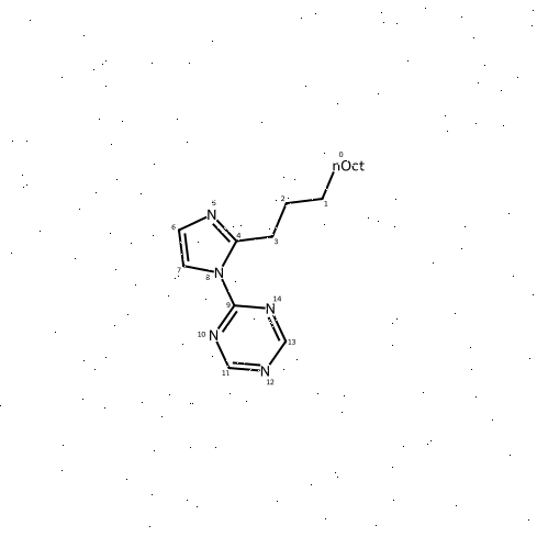 CCCCCCCCCCCc1nccn1-c1ncncn1